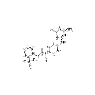 Cc1nc(N)nc(NC2CCC(C(=O)NCc3ccccc3C(F)(F)F)CC2)n1